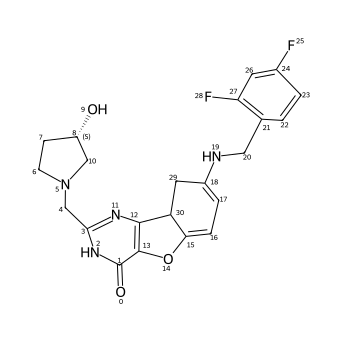 O=c1[nH]c(CN2CC[C@H](O)C2)nc2c1OC1=CC=C(NCc3ccc(F)cc3F)CC12